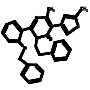 Cc1cc(-c2c(C)nc(-c3ccccc3OCc3ccccc3)n(CCc3ccccc3)c2=O)cs1